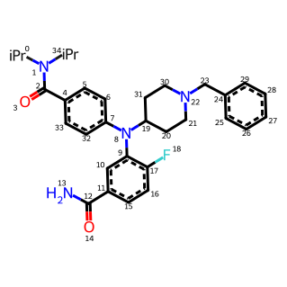 CC(C)N(C(=O)c1ccc(N(c2cc(C(N)=O)ccc2F)C2CCN(Cc3ccccc3)CC2)cc1)C(C)C